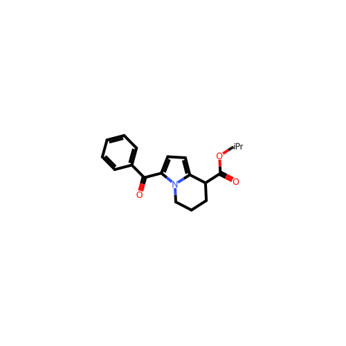 CC(C)OC(=O)C1CCCn2c(C(=O)c3ccccc3)ccc21